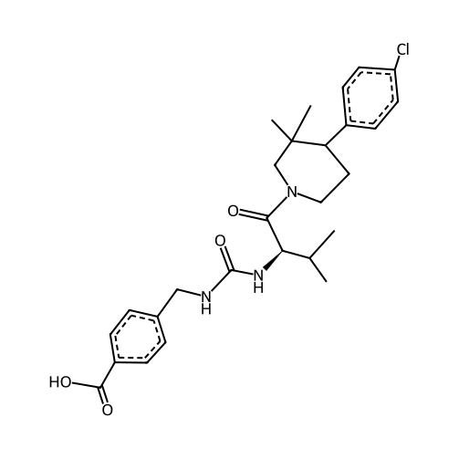 CC(C)[C@@H](NC(=O)NCc1ccc(C(=O)O)cc1)C(=O)N1CCC(c2ccc(Cl)cc2)C(C)(C)C1